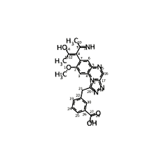 COc1cc2c(cc1/C(C(C)=N)=C(\C)O)ncc1nnc(Cc3cccc(C(=O)O)c3)n12